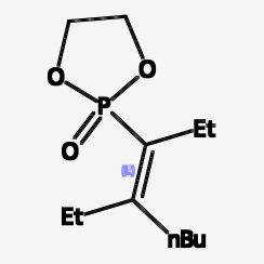 CCCC/C(CC)=C(\CC)P1(=O)OCCO1